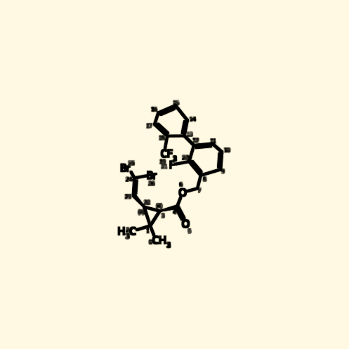 CC1(C)[C@H](C(=O)OCc2cccc(-c3ccccc3C(F)(F)F)c2F)[C@@H]1C=C(Br)Br